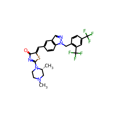 C[C@@H]1CN(C)CCN1C1=NC(=O)/C(=C/c2ccc3c(cnn3Cc3ccc(C(F)(F)F)cc3C(F)(F)F)c2)S1